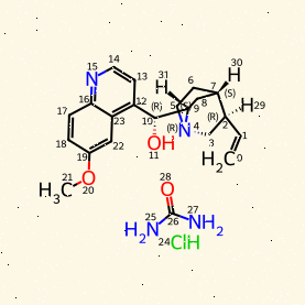 C=C[C@H]1C[N@]2CC[C@H]1C[C@H]2[C@H](O)c1ccnc2ccc(OC)cc12.Cl.NC(N)=O